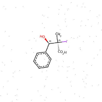 C[C@](I)(C(=O)O)[C@H](O)c1ccccc1